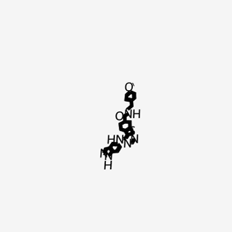 COc1ccc(CCNC(=O)C2CCc3c(sc4ncnc(Nc5ccc6[nH]ncc6c5)c34)C2)cc1